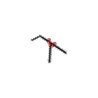 CCCCCCCC/C=C\CCCCCCCC(=O)OC[C@@H](COC(=O)CCCCCCCCCCCCC)OC(=O)CCCCCCCCCCCCCCC